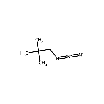 CC(C)(C)CN=[N+]=[N-]